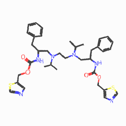 CC(C)N(CCN(CC(Cc1ccccc1)NC(=O)OCc1cncs1)C(C)C)CC(Cc1ccccc1)NC(=O)OCc1cncs1